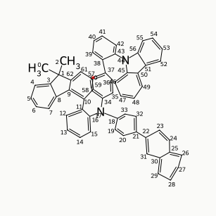 CC1(C)c2ccccc2-c2c(-c3ccccc3N(c3ccc(-c4ccc5ccccc5c4)cc3)c3ccc(-c4ccccc4-n4c5ccccc5c5ccccc54)cc3)cccc21